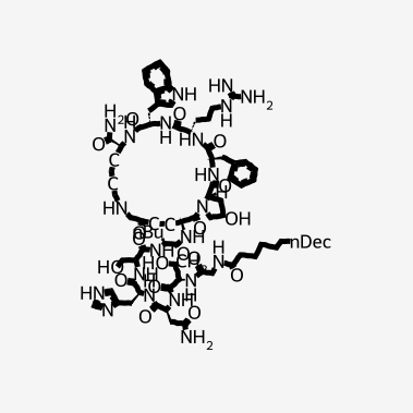 CCCCCCCCCCCCCCCC(=O)NCC(=O)N[C@H](C(=O)N[C@@H](CC(N)=O)C(=O)N[C@@H](Cc1c[nH]cn1)C(=O)NC(CO)C(=O)N[C@@H](CCCC)C(=O)N[C@H]1CCC(=O)CNCCCC[C@@H](C(N)=O)NC(=O)[C@H](Cc2c[nH]c3ccccc23)NC(=O)[C@H](CCCNC(=N)N)NC(=O)[C@@H](Cc2ccccc2)NC(=O)[C@@H]2C[C@@H](O)CN2C1=O)[C@@H](C)O